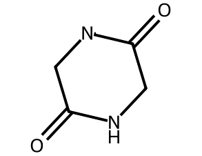 O=C1CNC(=O)C[N]1